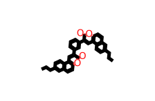 CCCc1ccc2c(ccc3oc(=O)c(-c4cccc(-c5cc6c(ccc7cc(CCC)ccc76)oc5=O)c4)cc32)c1